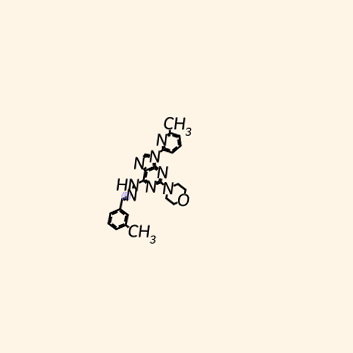 Cc1cccc(/C=N/Nc2nc(N3CCOCC3)nc3c2ncn3-c2cccc(C)n2)c1